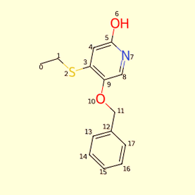 CCSc1cc(O)ncc1OCc1ccccc1